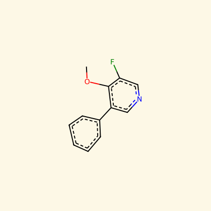 COc1c(F)cncc1-c1ccccc1